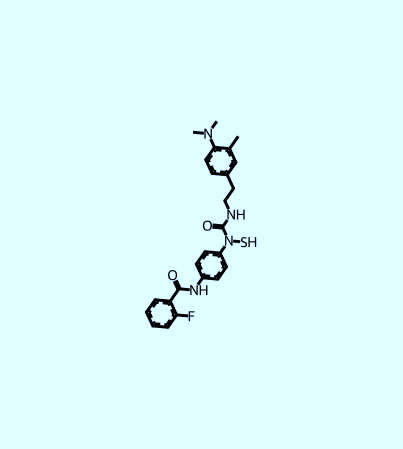 Cc1cc(CCNC(=O)N(S)c2ccc(NC(=O)c3ccccc3F)cc2)ccc1N(C)C